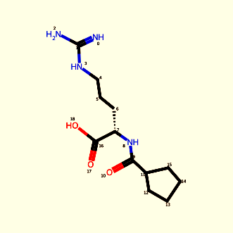 N=C(N)NCCC[C@H](NC(=O)C1CCCC1)C(=O)O